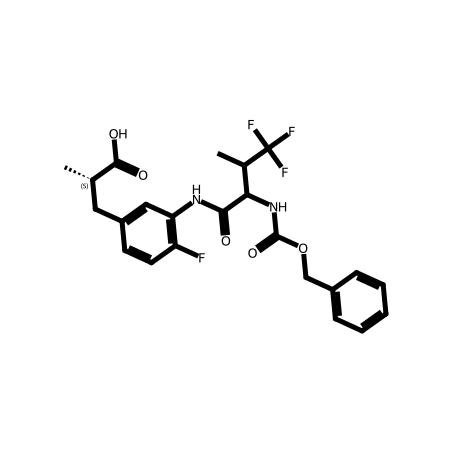 CC(C(NC(=O)OCc1ccccc1)C(=O)Nc1cc(C[C@H](C)C(=O)O)ccc1F)C(F)(F)F